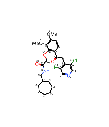 COc1ccc(C(=O)Cc2c(Cl)cncc2Cl)c(OCC(=O)NCC2CCCCCC2)c1OC